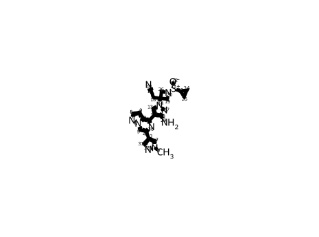 Cn1cc(-c2cn3nccc3c(-c3cn(C4(CC#N)CN([S+]([O-])C5CC5)C4)nc3N)n2)cn1